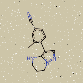 Cc1cc(C#N)ccc1-c1cnn2c1NCCC2